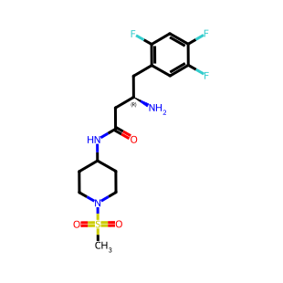 CS(=O)(=O)N1CCC(NC(=O)C[C@H](N)Cc2cc(F)c(F)cc2F)CC1